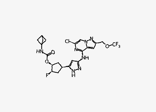 O=C(NC12CC(C1)C2)O[C@H]1C[C@@H](c2cc(Nc3nc(Cl)cn4nc(COC(F)(F)F)cc34)n[nH]2)C[C@H]1F